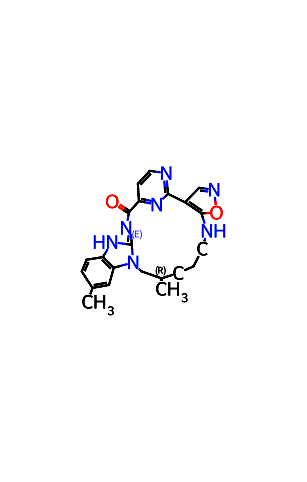 Cc1ccc2c(c1)N1C[C@H](C)CCCNc3oncc3-c3nccc(n3)C(=O)/N=C/1N2